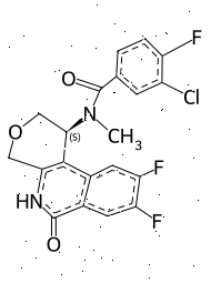 CN(C(=O)c1ccc(F)c(Cl)c1)[C@@H]1COCc2[nH]c(=O)c3cc(F)c(F)cc3c21